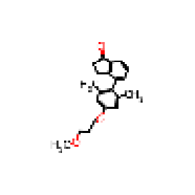 COCCCOc1cc(C)c(-c2cccc3c2CCC3=O)c(C)c1